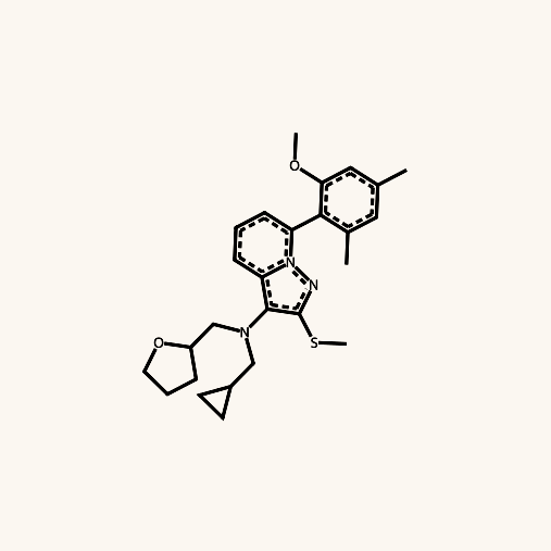 COc1cc(C)cc(C)c1-c1cccc2c(N(CC3CC3)CC3CCCO3)c(SC)nn12